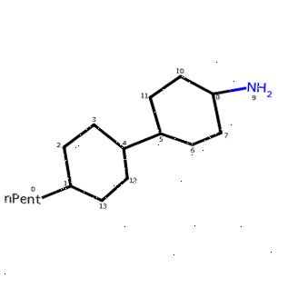 CCCCCC1CCC(C2CCC(N)CC2)CC1